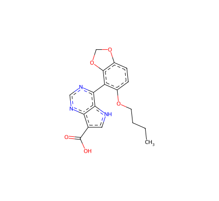 CCCCOc1ccc2c(c1-c1ncnc3c(C(=O)O)c[nH]c13)OCO2